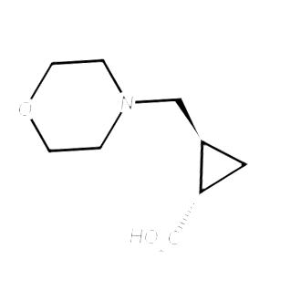 O=C(O)[C@H]1C[C@@H]1CN1CCOCC1